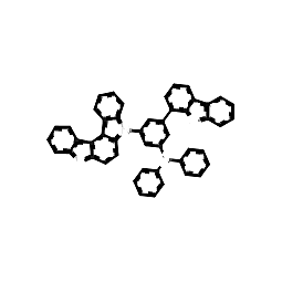 c1ccc(N(c2ccccc2)c2cc(-c3cccc4c3oc3ccccc34)cc(-n3c4ccccc4c4c5c(ccc43)sc3ccccc35)c2)cc1